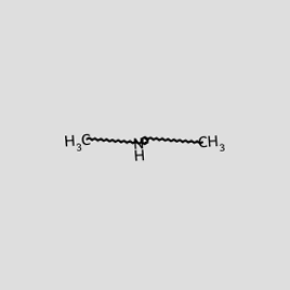 CCCCCCCCCCCCCCCCCCCc1ccc(NCCCCCCCCCCCCCCCCCC)cc1